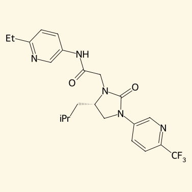 CCc1ccc(NC(=O)CN2C(=O)N(c3ccc(C(F)(F)F)nc3)C[C@@H]2CC(C)C)cn1